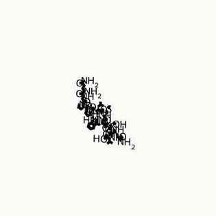 CSCC[C@H](NC(=O)[C@H](CC(C)C)NC(=O)[C@@H]1CCCN1C(=O)[C@@H]1CCCN1C(=O)CNC(=O)[C@@H](N)CCC(N)=O)C(=O)N[C@@H](Cc1c[nH]c2ccccc12)C(=O)N[C@@H](CO)C(=O)N[C@@H](CCC(N)=O)C(=O)N[C@H](C(=O)O)C(C)C